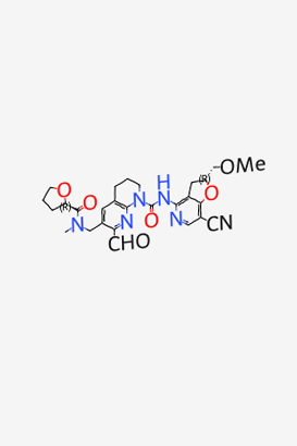 COC[C@H]1Cc2c(NC(=O)N3CCCc4cc(CN(C)C(=O)[C@H]5CCCO5)c(C=O)nc43)ncc(C#N)c2O1